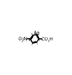 O=C(O)c1ccc([N+](=O)[O-])cc1.[Ag]